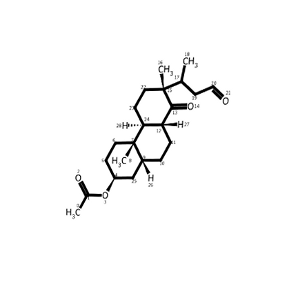 CC(=O)O[C@H]1CC[C@@]2(C)[C@H](CC[C@H]3C(=O)[C@@](C)(C(C)CC=O)CC[C@@H]32)C1